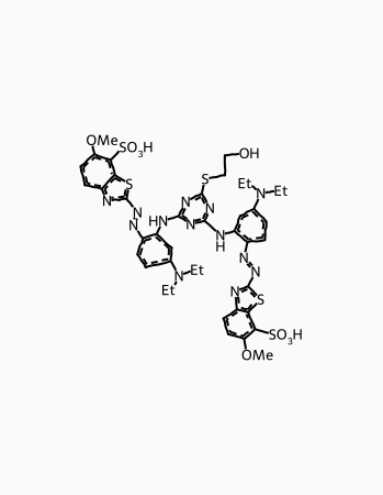 CCN(CC)c1ccc(/N=N/c2nc3ccc(OC)c(S(=O)(=O)O)c3s2)c(Nc2nc(Nc3cc(N(CC)CC)ccc3/N=N/c3nc4ccc(OC)c(S(=O)(=O)O)c4s3)nc(SCCO)n2)c1